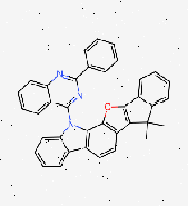 CC1(C)c2ccccc2-c2oc3c(ccc4c5ccccc5n(-c5nc(-c6ccccc6)nc6ccccc56)c43)c21